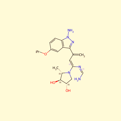 C=C(/C=C(\N=C/N)N1C[C@H](O)[C@@H](O)[C@@H]1C)c1nn(N)c2ccc(OC(C)C)cc12